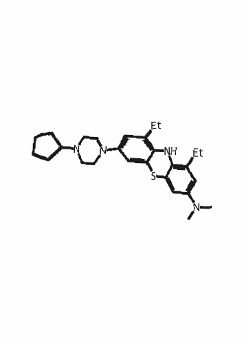 CCc1cc(N(C)C)cc2c1Nc1c(CC)cc(N3CCN(C4CCCC4)CC3)cc1S2